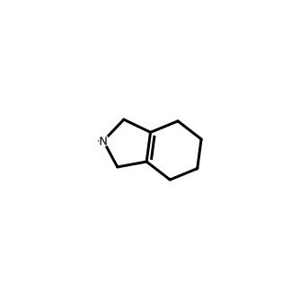 C1CCC2=C(C1)C[N]C2